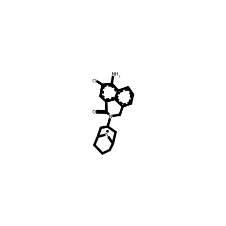 CN1C2CCCC1CC(N1Cc3cccc4c(N)c(Cl)cc(c34)C1=O)C2